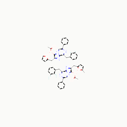 CC(=O)Oc1c(Cc2ccc(C)o2)nc2c(Cc3cccc(F)c3F)nc(-c3ccccc3)cn12.CC(=O)Oc1c(Cc2ccco2)nc2c(Cc3cccc(F)c3F)nc(-c3ccccc3)cn12